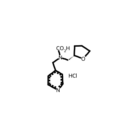 Cl.O=C(O)N(Cc1ccncc1)C[C@@H]1CCCO1